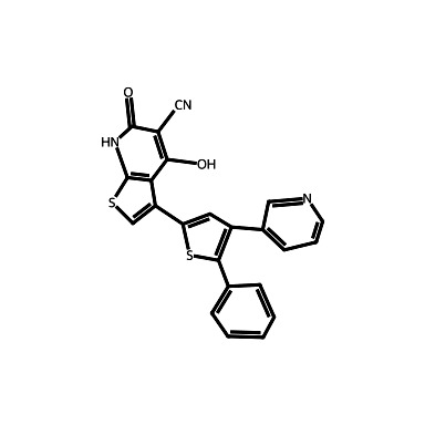 N#Cc1c(O)c2c(-c3cc(-c4cccnc4)c(-c4ccccc4)s3)csc2[nH]c1=O